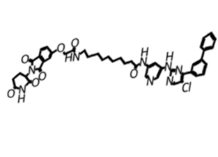 O=C(COc1ccc2c(c1)C(=O)N(C1CCC(=O)NC1=O)C2=O)NCCCCCCCCCC(=O)Nc1cncc(Nc2ncc(Cl)c(-c3cccc(-c4ccccc4)c3)n2)c1